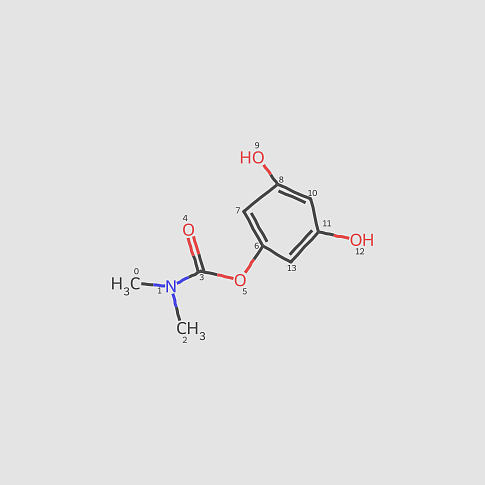 CN(C)C(=O)Oc1cc(O)cc(O)c1